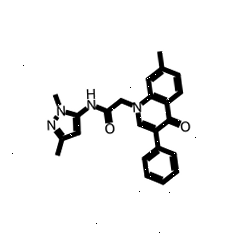 Cc1ccc2c(=O)c(-c3ccccc3)cn(CC(=O)Nc3cc(C)nn3C)c2c1